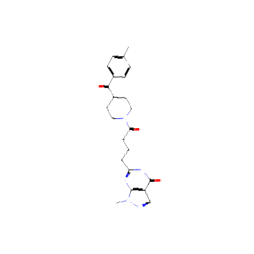 Cc1ccc(C(=O)C2CCN(C(=O)CCCc3nc4c(cnn4C)c(=O)[nH]3)CC2)cc1